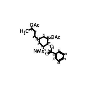 CN[C@H]1CN(CC[C@@H](C)OC(C)=O)C[C@@H](OC(C)=O)[C@@H]1OC(=O)c1ccccc1